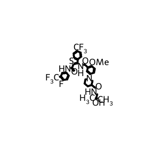 COc1ccc(N2CCCC(C(=O)NCC(C)(C)O)C2)cc1C(=O)Nc1c(C(=O)Nc2ccc(F)c(C(F)(F)F)c2)sc2cc(C(F)(F)F)ccc12